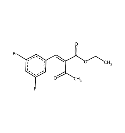 CCOC(=O)/C(=C/c1cc(F)cc(Br)c1)C(C)=O